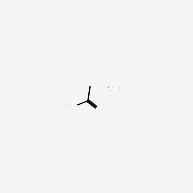 [CH2]C(=O)O.[LiH].[MgH2]